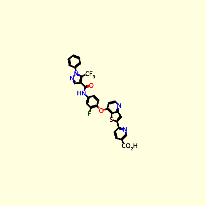 O=C(O)c1ccc(-c2cc3nccc(Oc4ccc(NC(=O)c5cnn(-c6ccccc6)c5C(F)(F)F)cc4F)c3s2)nc1